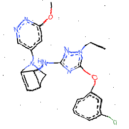 CCn1nc(NC2C3=CC2CN3c2cnnc(OC)c2)nc1Oc1cccc(Cl)c1